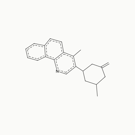 C=C1CC(C)CC(c2cnc3c(ccc4ccccc43)c2C)C1